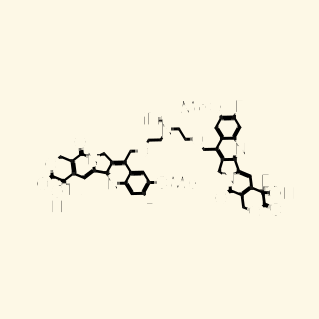 CC[C@@]1(O)C(=O)OCc2c1cc1n(c2=O)Cc2c-1nc1cc(F)c(OC)cc1c2COCCN(CCOCc1c2c(nc3cc(F)c(OC)cc13)-c1cc3c(c(=O)n1C2)COC(=O)[C@]3(O)CC)C(C)C